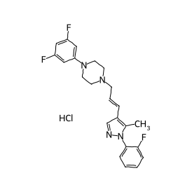 Cc1c(/C=C/CN2CCN(c3cc(F)cc(F)c3)CC2)cnn1-c1ccccc1F.Cl